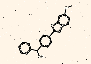 COc1ccc2cc(-c3ccc(C(O)c4ccccc4)cc3)oc2c1